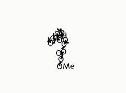 COCCOCC(=O)OCCOC(C)OC1O[C@H](C2COC(C)(C)O2)[C@@H]2OC(C)(C)O[C@H]12